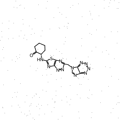 O=C1CCCC[C@H]1Nc1nc2nnc(Cn3cnc4nnnnc43)nc2s1